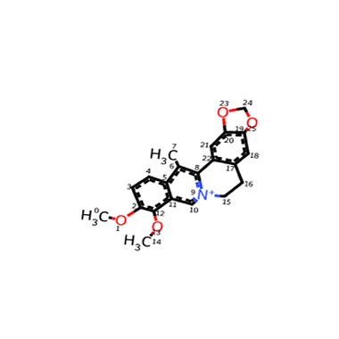 COc1ccc2c(C)c3[n+](cc2c1OC)CCc1cc2c(cc1-3)OCO2